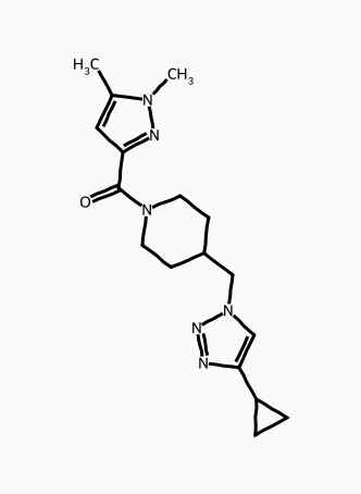 Cc1cc(C(=O)N2CCC(Cn3cc(C4CC4)nn3)CC2)nn1C